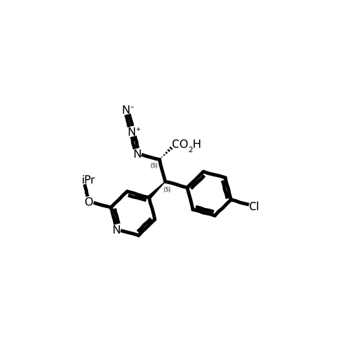 CC(C)Oc1cc([C@H](c2ccc(Cl)cc2)[C@H](N=[N+]=[N-])C(=O)O)ccn1